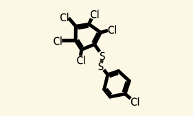 Clc1ccc(SSc2c(Cl)c(Cl)c(Cl)c(Cl)c2Cl)cc1